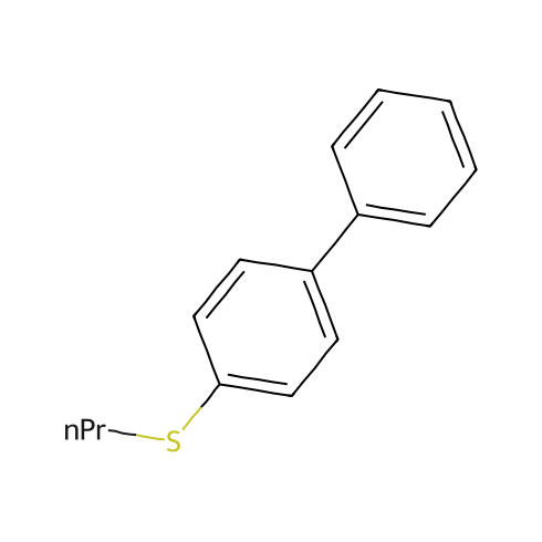 [CH2]CCSc1ccc(-c2ccccc2)cc1